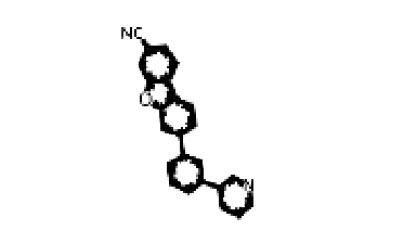 N#Cc1ccc2c(c1)oc1cc(-c3cccc(-c4cccnc4)c3)ccc12